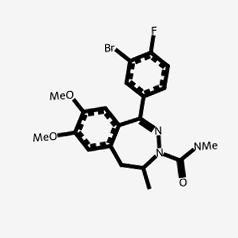 CNC(=O)N1N=C(c2ccc(F)c(Br)c2)c2cc(OC)c(OC)cc2CC1C